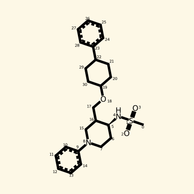 CS(=O)(=O)N[C@H]1CCN(c2ccccc2)CC1COC1CCC(c2ccccc2)CC1